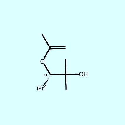 C=C(C)O[C@@H](C(C)C)C(C)(C)O